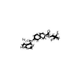 CN(c1ncnc2[nH]ccc12)C1CCC2(CC1)CCN(C(=O)NCC(F)(F)F)CC2